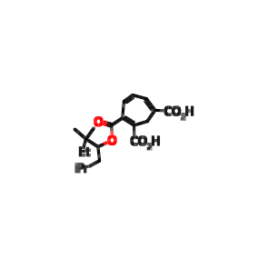 CCC(C)(C)C(CC(C)C)OC(=O)C1=C(C(=O)O)CC(C(=O)O)=CC=C1